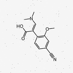 COc1cc(C#N)ccc1C(=CN(C)C)C(=O)O